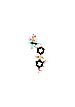 O=S(=O)(c1cccc(SC(F)(F)C(F)(F)S(=O)(=O)O)c1)c1ccc(O)cc1O